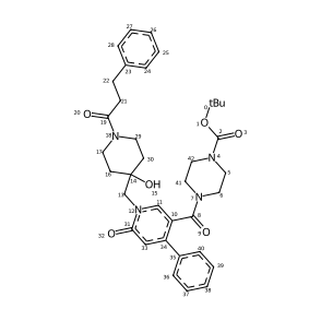 CC(C)(C)OC(=O)N1CCN(C(=O)c2cn(CC3(O)CCN(C(=O)CCc4ccccc4)CC3)c(=O)cc2-c2ccccc2)CC1